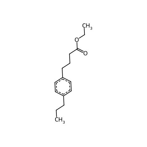 CCCc1ccc(CCCC(=O)OCC)cc1